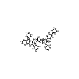 C1=C(C2=NC(c3ccccc3)NC(c3ccc(-c4ccccc4)cc3)N2)C=C(n2c3ccccc3c3cc4c5ccccc5n(-c5ccccc5)c4cc32)NC1